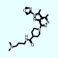 Cc1nnc(N2CCC(C(=O)NCCCN(C)C)CC2)c2nn(-c3cocn3)c(C)c12